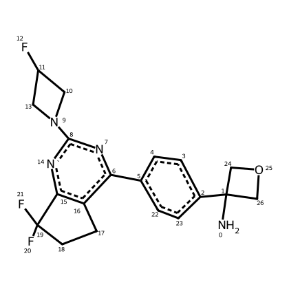 NC1(c2ccc(-c3nc(N4CC(F)C4)nc4c3CCC4(F)F)cc2)COC1